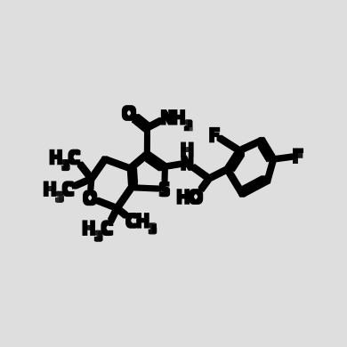 CC1(C)Cc2c(sc(NC(O)c3ccc(F)cc3F)c2C(N)=O)C(C)(C)O1